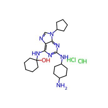 Cl.Cl.NC1CCC(Nc2nc(NC3(O)CCCCC3)c3ncn(C4CCCC4)c3n2)CC1